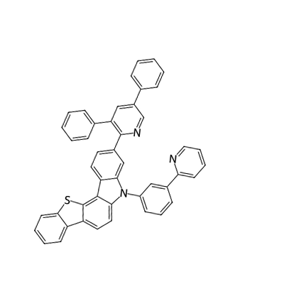 c1ccc(-c2cnc(-c3ccc4c5c6sc7ccccc7c6ccc5n(-c5cccc(-c6ccccn6)c5)c4c3)c(-c3ccccc3)c2)cc1